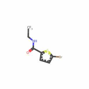 O=C(NCC(F)(F)F)c1ccc(Br)s1